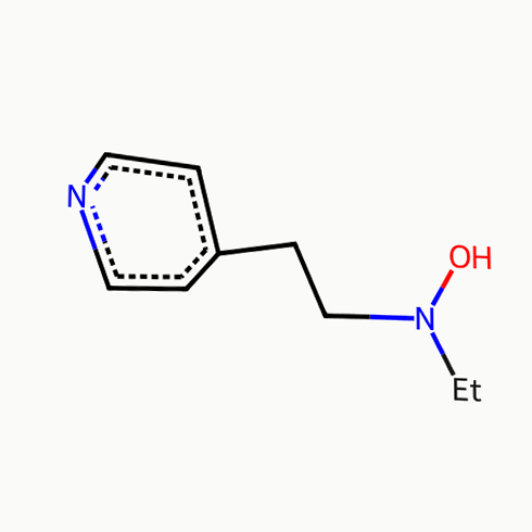 CCN(O)CCc1ccncc1